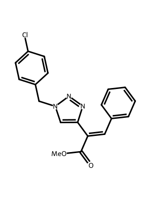 COC(=O)C(=Cc1ccccc1)c1cn(Cc2ccc(Cl)cc2)nn1